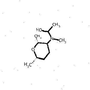 CC(O)N(C)C1CC[C@H](C)O[C@@H]1C